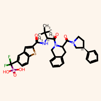 CC(C)(C)[C@H](NC(=O)c1cc2cc(C(F)(F)P(=O)(O)O)ccc2s1)C(=O)N1Cc2ccccc2CC1C(=O)N1CC[C@@H](c2ccccc2)C1